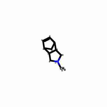 CN1CC2C3C=CC(C3)C2C1